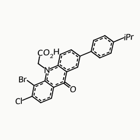 CC(C)c1ccc(-c2ccc3c(c2)c(=O)c2ccc(Cl)c(Br)c2n3CC(=O)O)cc1